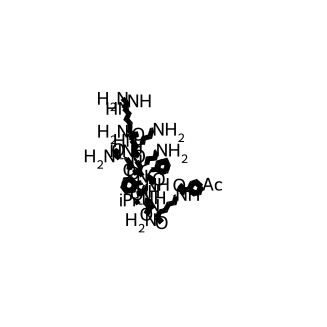 CC(=O)c1ccc(C(=O)NCCCCC(NC(=O)[C@H](CC(C)C)NC(=O)[C@H](Cc2ccccc2)NC(=O)[C@H](Cc2ccccc2)NC(=O)[C@H](CCCCN)NC(=O)[C@H](CC(N)=O)NC(=O)[C@H](CCCCN)NC(=O)[C@@H](N)CCCNC(=N)N)C(N)=O)cc1